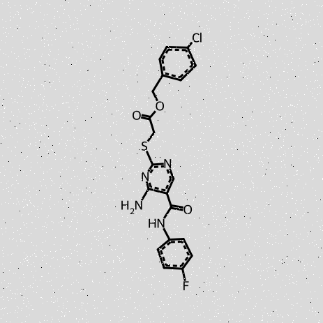 Nc1nc(SCC(=O)OCc2ccc(Cl)cc2)ncc1C(=O)Nc1ccc(F)cc1